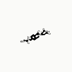 CC(C)(C)OC(=O)NCc1ccc2c(c1)CN([C@]1(C)CCC(=O)NC1=O)C2=O